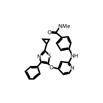 CNC(=O)c1ccc(Nc2cc(Oc3sc(C4CC4)nc3-c3ccccc3)ccn2)cc1